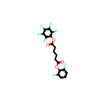 O=C(CCCCC(=O)Oc1c(F)c(F)c(F)c(F)c1F)Oc1c(F)cccc1F